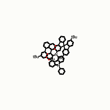 CC(C)(C)c1cc(-c2cccc3cccc(-c4ccccc4N(c4ccc5c(c4)C4(c6ccccc6-5)c5cc(C(C)(C)C)ccc5-c5ccc(C(C)(C)C)cc54)c4cccc5c4c4ccccc4n5-c4ccccc4)c23)cc(C(C)(C)C)c1